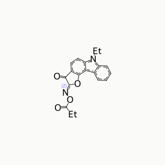 CCC(=O)O/N=C1\Oc2c(ccc3c2c2ccccc2n3CC)C1=O